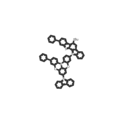 CC(C)(C)c1cc2c3ccccc3n(-c3ccc4c(c3)Oc3cc(-n5c6ccccc6c6ccccc65)cc5c3B4c3ccc(-c4ccccc4)cc3O5)c2c2sc3cc(-c4ccccc4)ccc3c12